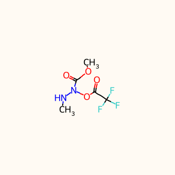 CNN(OC(=O)C(F)(F)F)C(=O)OC